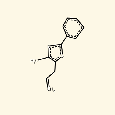 C=CCc1sc(-c2ccccc2)nc1C